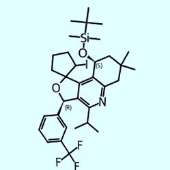 CC(C)c1nc2c(c3c1[C@@H](c1cccc(C(F)(F)F)c1)OC31CCCC1I)[C@@H](O[Si](C)(C)C(C)(C)C)CC(C)(C)C2